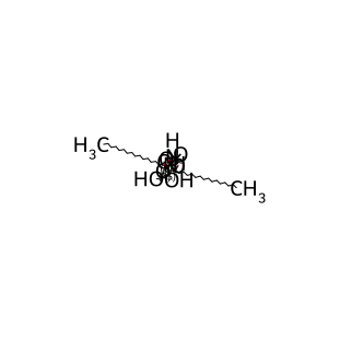 CCCCCCCCCCCCCCCC(=O)C1[C@H](O)[C@@H](CO)O[C@@]1(C(=O)CCCCCCCCCCCCCCC)n1cc(I)c(=O)[nH]c1=O